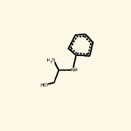 NC(CO)Nc1ccccc1